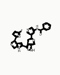 O=C(Nc1cncc(-c2cc3c(-c4cc5c(-c6ccc(F)s6)cncc5[nH]4)n[nH]c3cn2)c1)c1ccccc1